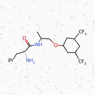 CC(C)C[C@@H](N)C(=O)NC(C)COC1CC(C(F)(F)F)CC(C(F)(F)F)C1